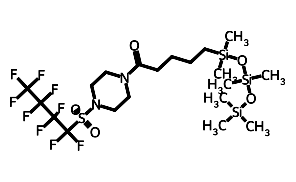 C[Si](C)(C)O[Si](C)(C)O[Si](C)(C)CCCCC(=O)N1CCN(S(=O)(=O)C(F)(F)C(F)(F)C(F)(F)C(F)(F)F)CC1